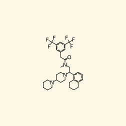 CN(CC(c1cccc2c1CCCC2)N1CCC(N2CCCCC2)CC1)C(=O)Cc1cc(C(F)(F)F)cc(C(F)(F)F)c1